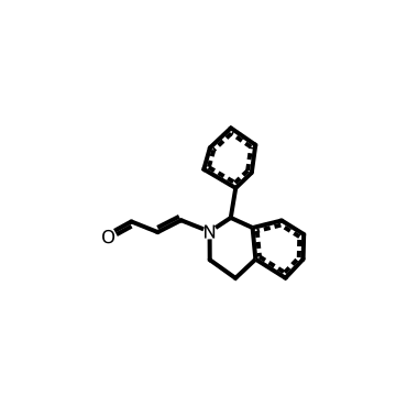 O=CC=CN1CCc2ccccc2C1c1ccccc1